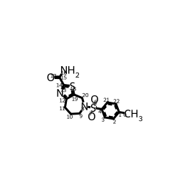 Cc1ccc(S(=O)(=O)N2CCCc3nc(C(N)=O)sc3C2)cc1